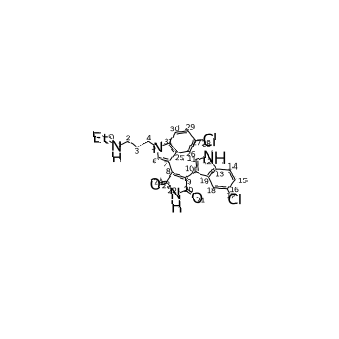 CCNCCCn1cc(C2=C(c3c[nH]c4ccc(Cl)cc34)C(=O)NC2=O)c2cc(Cl)ccc21